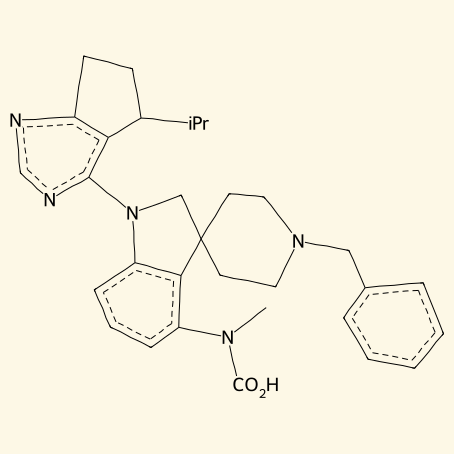 CC(C)C1CCc2ncnc(N3CC4(CCN(Cc5ccccc5)CC4)c4c(N(C)C(=O)O)cccc43)c21